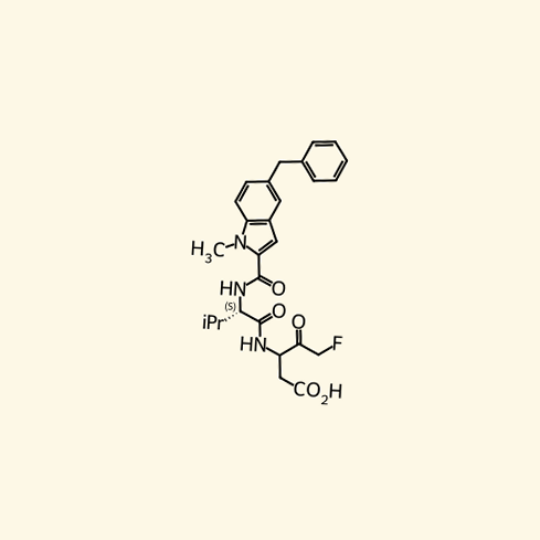 CC(C)[C@H](NC(=O)c1cc2cc(Cc3ccccc3)ccc2n1C)C(=O)NC(CC(=O)O)C(=O)CF